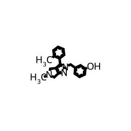 Cc1ccccc1-c1c2c(nn1Cc1cccc(O)c1)CN(C)C2